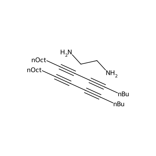 CCCCC#CC#CCCCCCCCC.CCCCC#CC#CCCCCCCCC.NCCN